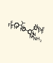 CC(C)C(c1ccc(C(F)(F)F)nc1)n1cc(-c2cc(-c3cnn(CC(F)(F)F)c3)n3nc(N)nc3c2)cn1